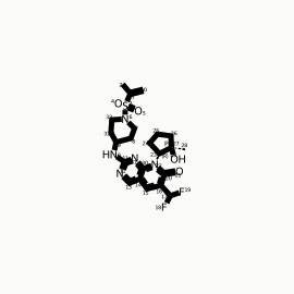 C=C(C)S(=O)(=O)N1CCC(Nc2ncc3cc(C(F)F)c(=O)n([C@@H]4CCC[C@@]4(C)O)c3n2)CC1